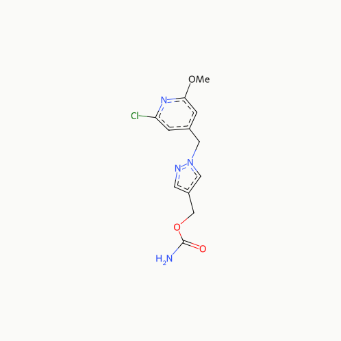 COc1cc(Cn2cc(COC(N)=O)cn2)cc(Cl)n1